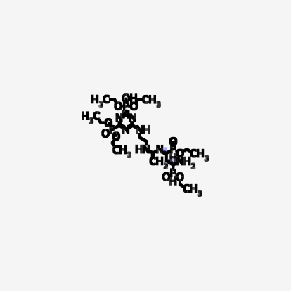 C=C(/N=C(\C=C(/N)[PH](=O)OCC)[PH](=O)OCC)NCCNc1nc(P(=O)(OCC)OCC)nc([PH](O)(OCC)OCC)n1